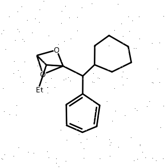 CCC1C2OC1(C(c1ccccc1)C1CCCCC1)O2